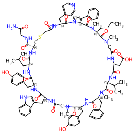 CCCC[C@H]1C(=O)N(C)CC(=O)NC(CC(=O)O)C(=O)N[C@@H](C(C)C)C(=O)N(C)[C@@H](Cc2ccccc2)C(=O)N[C@@H](Cc2ccc(O)cc2)C(=O)N(C)CC(=O)N[C@@H](Cc2c[nH]c3ccccc23)C(=O)N[C@@H](Cc2ccc(O)cc2)C(=O)N[C@@H](CC(C)C)C(=O)N[C@H](C(=O)NCC(N)=O)CSCC(=O)N[C@@H](Cc2ccncc2)C(=O)N(C)[C@@H](Cc2ccccc2)C(=O)N1C